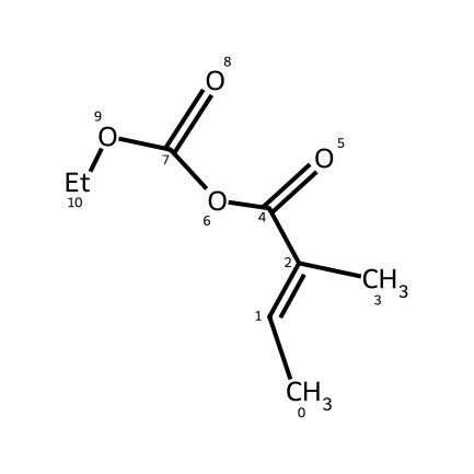 CC=C(C)C(=O)OC(=O)OCC